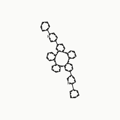 c1ccc(-c2ccc(-c3ccc4c5ccccc5c5ccc(-c6ccc(-c7ccccc7)nc6)cc5c5ccccc5c5ccccc5c4c3)cn2)cc1